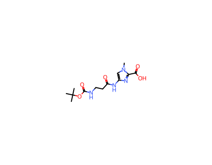 Cn1cc(NC(=O)CCNC(=O)OC(C)(C)C)nc1C(=O)O